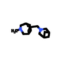 CN1CC2CCC(CC(CN3CC4CC(C4)C3)C2)C1